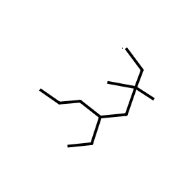 [CH2]CC(C)(C)CC(CC)CCC